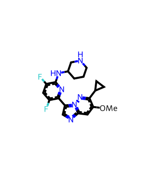 COc1cc2ncc(-c3nc(NC4CCCNC4)c(F)cc3F)n2nc1C1CC1